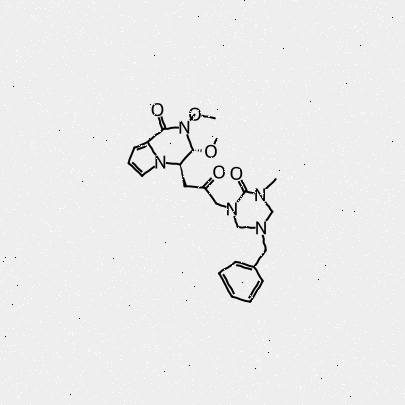 CO[C@@H]1[C@@H](CC(=O)CN2CN(Cc3ccccc3)CN(C)C2=O)n2cccc2C(=O)N1OC